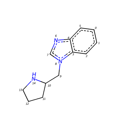 c1ccc2c(c1)ncn2CC1CCCN1